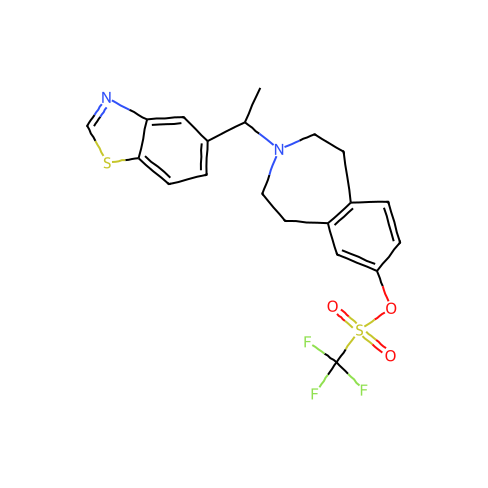 CC(c1ccc2scnc2c1)N1CCc2ccc(OS(=O)(=O)C(F)(F)F)cc2CC1